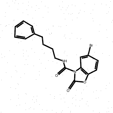 O=C(NCCCCc1ccccc1)n1c(=O)oc2ccc(Br)cc21